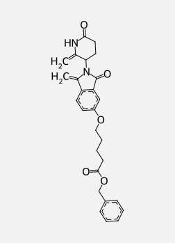 C=C1NC(=O)CCC1N1C(=C)c2ccc(OCCCCC(=O)OCc3ccccc3)cc2C1=O